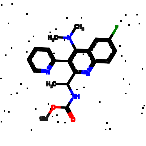 CC(NC(=O)OC(C)(C)C)c1nc2ccc(F)cc2c(N(C)C)c1-c1ccccn1